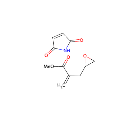 C=C(CC1CO1)C(=O)OC.O=C1C=CC(=O)N1